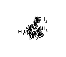 COc1ccncc1-c1cc2c(cnn2-c2cc(N3C[C@H](CS(C)(=O)=O)[C@H]3C)cc(N3CC4CCN(C)[C@@H]4C3)n2)c(C)n1